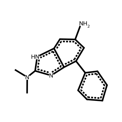 CN(C)c1nc2c(-c3ccccc3)cc(N)cc2[nH]1